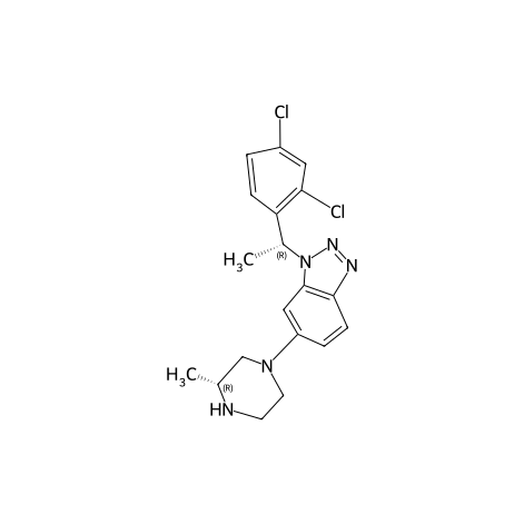 C[C@@H]1CN(c2ccc3nnn([C@H](C)c4ccc(Cl)cc4Cl)c3c2)CCN1